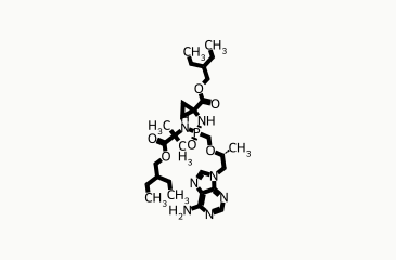 CCC(CC)COC(=O)C(C)(C)NP(=O)(CO[C@H](C)Cn1cnc2c(N)ncnc21)NC1(C(=O)OCC(CC)CC)CC1